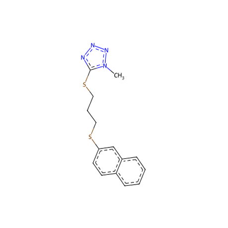 Cn1nnnc1SCCCSc1ccc2ccccc2c1